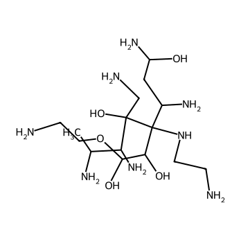 CC(N)C(N)C(O)(CN)C(NCCN)(C(N)CC(N)O)C(O)C(O)OCCN